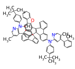 Cc1cnc(N(c2ccc(C(C)(C)C)cc2)c2cc3c(c4oc5ccccc5c24)-c2c(c4ccc(N(c5ccc(C(C)(C)C)cc5)c5cc(-c6ccccc6C)c(C)cn5)cc4c4ccccc24)C32c3ccccc3-c3ccccc32)c(-c2ccccc2C)c1